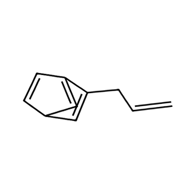 C=CCC1=CC2C=CC1=C2